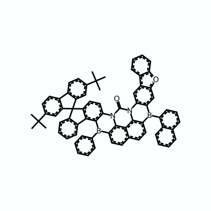 CC(C)(C)c1ccc2c(c1)C1(c3cc(C(C)(C)C)ccc3-2)c2ccccc2-c2c1ccc1c2B(c2ccccc2)c2ccc3ccc4c5c3c2N1C(=O)N5c1cc2c(cc1B4c1cccc3ccccc13)oc1ccccc12